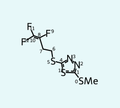 CSc1nnc(SCCC(F)=C(F)F)s1